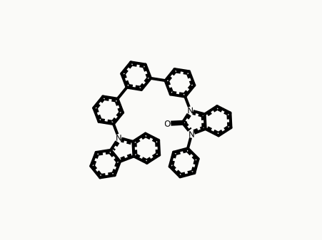 O=c1n(-c2ccccc2)c2ccccc2n1-c1cccc(-c2cccc(-c3cccc(-n4c5ccccc5c5ccccc54)c3)c2)c1